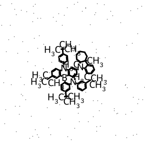 CC(C)(C)c1ccc(N2c3ccc(C(C)(C)C)cc3B3c4ccc(C(C)(C)C)cc4N(c4cccc(C(C)(C)C)c4)c4cc(N5c6ccccc6C6(C)CCCCCC56C)cc2c43)cc1